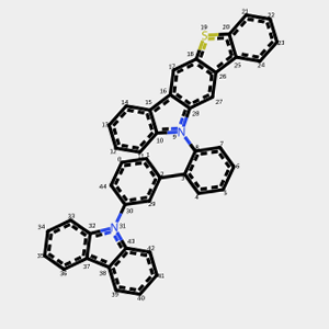 c1cc(-c2ccccc2-n2c3ccccc3c3cc4sc5ccccc5c4cc32)cc(-n2c3ccccc3c3ccccc32)c1